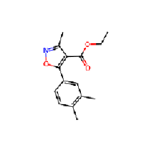 CCOC(=O)c1c(C)noc1-c1ccc(C)c(C)c1